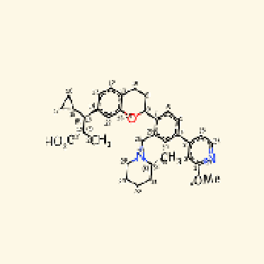 COc1cc(-c2ccc(C3CCc4ccc([C@H](C5CC5)[C@H](C)C(=O)O)cc4O3)c(CN3CCCC[C@H]3C)c2)ccn1